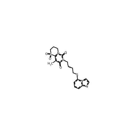 Cc1c2n(c(=O)n(CCCCSc3cccc4nccn34)c1=O)CCCS2(=O)=O